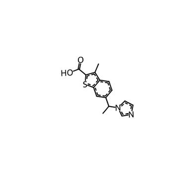 Cc1c(C(=O)O)sc2cc(C(C)n3ccnc3)ccc12